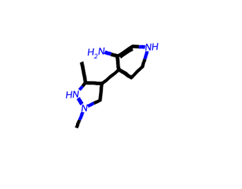 CC1NN(C)CC1C1CCNC=C1N